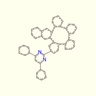 c1ccc(-c2cc(-c3ccccc3)nc(-c3ccc4c5ccccc5c5ccccc5c5ccccc5c5cc6ccccc6cc5c4c3)n2)cc1